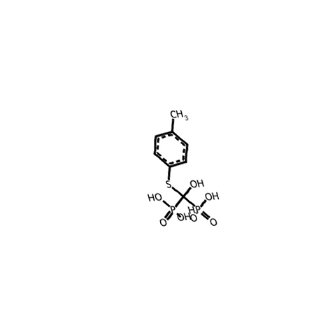 Cc1ccc(SC(O)(P(=O)(O)O)P(=O)(O)O)cc1